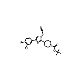 CC(C)(C)OC(=O)N1CCC(c2nc(-c3ccc(F)c(Cl)c3)cn2CC#N)CC1